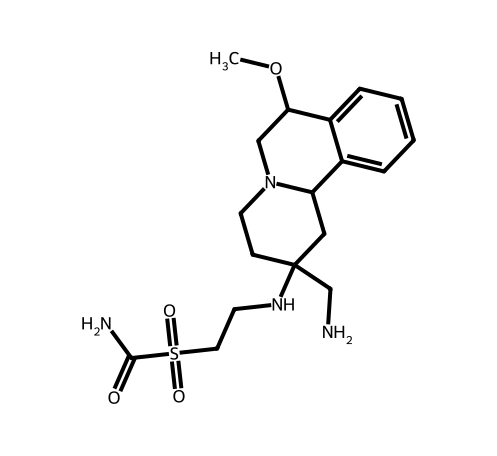 COC1CN2CCC(CN)(NCCS(=O)(=O)C(N)=O)CC2c2ccccc21